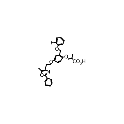 Cc1oc(-c2ccccc2)nc1CCOc1ccc(OCC(C)C(=O)O)c(COc2ccccc2F)c1